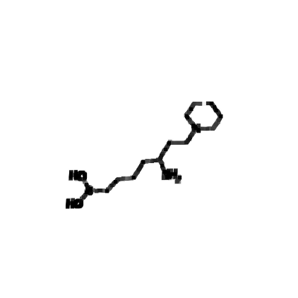 NC(CCCCB(O)O)CCN1CCCCC1